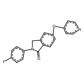 O=C1c2ccc(Oc3ccncc3)cc2CN1c1ccc(F)cc1